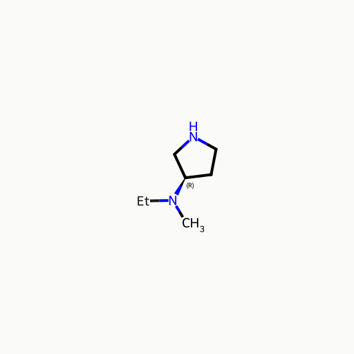 CCN(C)[C@@H]1CCNC1